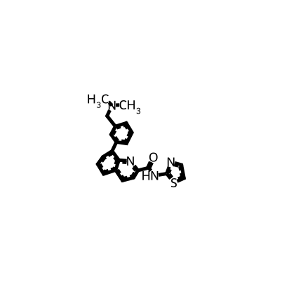 CN(C)Cc1cccc(-c2cccc3ccc(C(=O)Nc4nccs4)nc23)c1